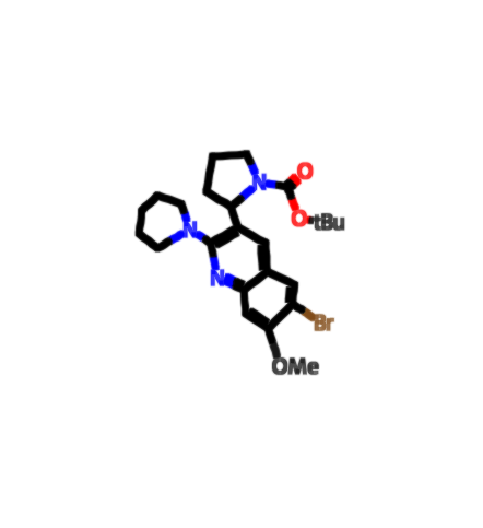 COc1cc2nc(N3CCCCC3)c(C3CCCN3C(=O)OC(C)(C)C)cc2cc1Br